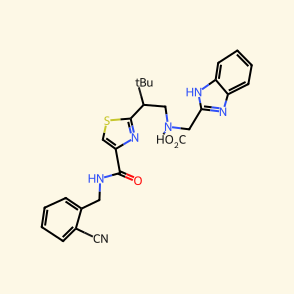 CC(C)(C)C(CN(Cc1nc2ccccc2[nH]1)C(=O)O)c1nc(C(=O)NCc2ccccc2C#N)cs1